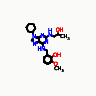 COc1cccc(CNc2nc(NCC(C)O)nc3c2ncn3C2CCCCC2)c1O